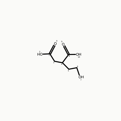 O=C(O)CC(CCO)C(=O)O